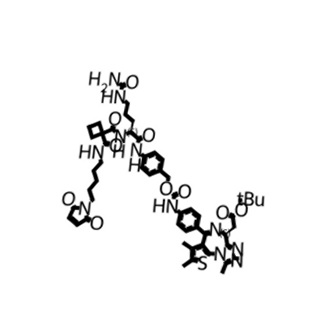 Cc1sc2c(c1C)C(c1ccc(NC(=O)OCc3ccc(NC(=O)[C@H](CCCNC(N)=O)NC(=O)C4(C(=O)NCCCCCN5C(=O)C=CC5=O)CCC4)cc3)cc1)=N[C@@H](CC(=O)OC(C)(C)C)c1nnc(C)n1-2